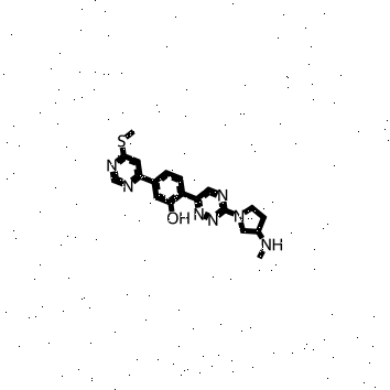 CNC1CCN(c2ncc(-c3ccc(-c4cc(SC)ncn4)cc3O)nn2)C1